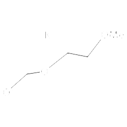 COCCOC[O-].[K+]